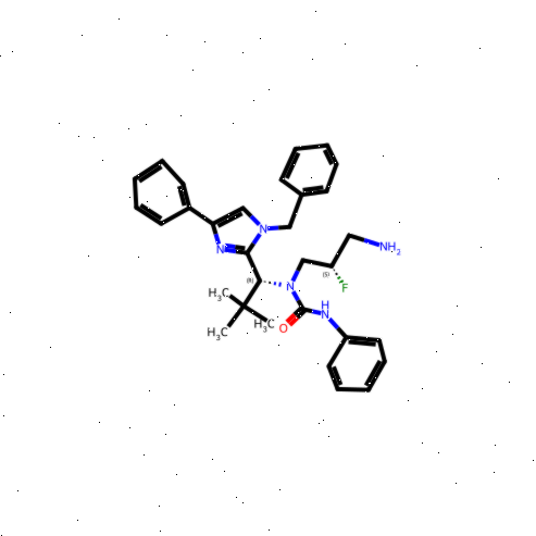 CC(C)(C)[C@H](c1nc(-c2ccccc2)cn1Cc1ccccc1)N(C[C@@H](F)CN)C(=O)Nc1ccccc1